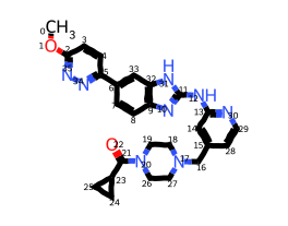 COc1ccc(-c2ccc3nc(Nc4cc(CN5CCN(C(=O)C6CC6)CC5)ccn4)[nH]c3c2)nn1